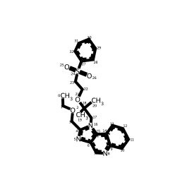 CCOCc1nc2cnc3ccccc3c2n1CC(C)(C)OCCS(=O)(=O)c1ccccc1